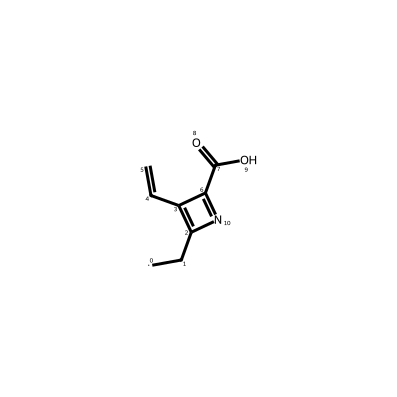 [CH2]CC1=C(C=C)C(C(=O)O)=N1